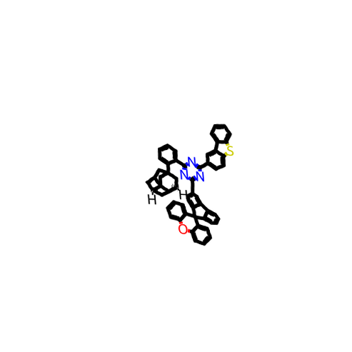 c1ccc2c(c1)Oc1ccccc1C21c2ccccc2-c2cc(-c3nc(-c4ccc5sc6ccccc6c5c4)nc(-c4ccccc4C45CC6C[C@@H]7C[C@H](C4)CC67C5)n3)ccc21